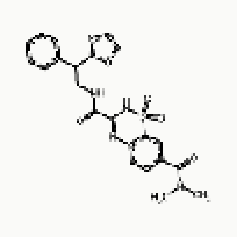 CN(C)C(=O)c1ccc2c(c1)S(=O)(=O)NC(C(=O)NCC(c1ccccc1)c1ncco1)=N2